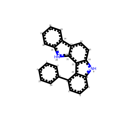 c1ccc(-c2cccc3[nH]c4ccc5c6ccccc6[nH]c5c4c23)cc1